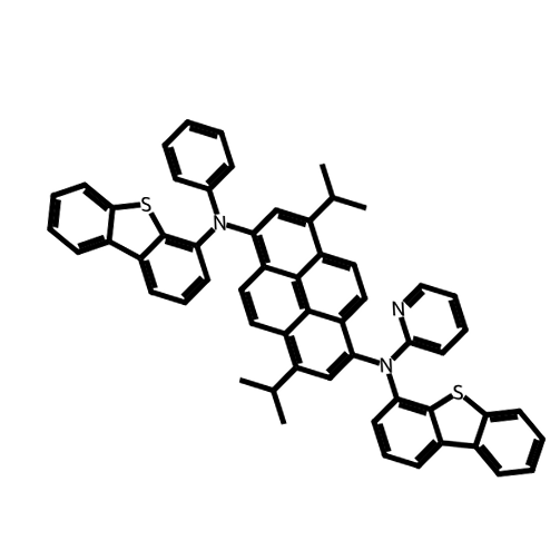 CC(C)c1cc(N(c2ccccc2)c2cccc3c2sc2ccccc23)c2ccc3c(C(C)C)cc(N(c4ccccn4)c4cccc5c4sc4ccccc45)c4ccc1c2c34